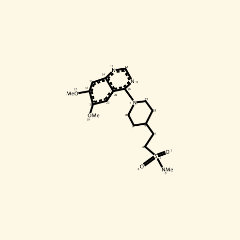 CNS(=O)(=O)CCC1CCN(c2ncnc3cc(OC)c(OC)cc23)CC1